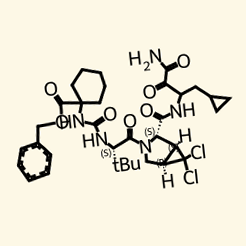 CC(C)(C)[C@H](NC(=O)NC1(C(=O)OCc2ccccc2)CCCCC1)C(=O)N1C[C@H]2[C@@H]([C@H]1C(=O)NC(CC1CC1)C(=O)C(N)=O)C2(Cl)Cl